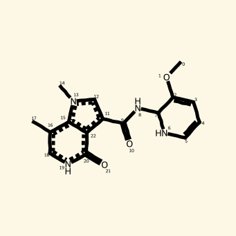 COC1=CC=CNC1NC(=O)c1cn(C)c2c(C)c[nH]c(=O)c12